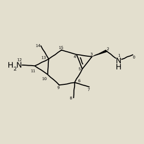 CNC[C@@H]1C2=C1C(C)(C)CC1C(N)C1(C)C2